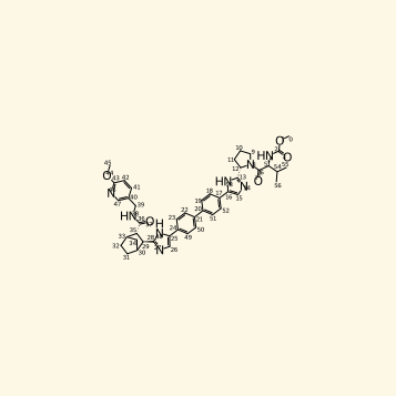 COC(=O)N[C@H](C(=O)N1CCC[C@H]1c1ncc(-c2ccc(-c3ccc(-c4cnc([C@H]5C6CCC(C6)[C@@H]5C(=O)NCc5ccc(OC)nc5)[nH]4)cc3)cc2)[nH]1)C(C)C